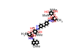 CN[C@@H]1[C@H](O)[C@H](NC)C2O[C@]3(O)C(OC2[C@H]1O)O[C@H](C)C[C@@]3(O)CNCc1ccc(Cc2cccc(CN[C@@H]3[C@H](O)[C@H](NC)C4O[C@]5(O)C(OC4[C@H]3O)O[C@H](C)C[C@@]5(O)CNCc3ccc(OC)c4c3CCCC4)c2)cc1